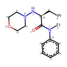 CCN(C(=O)[C@H](CC(C)C)NN1CCOCC1)c1ccccc1